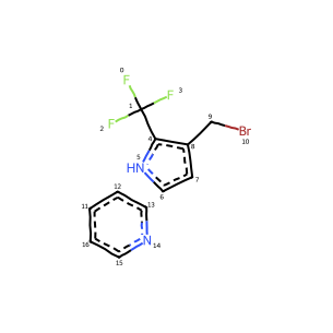 FC(F)(F)c1[nH]ccc1CBr.c1ccncc1